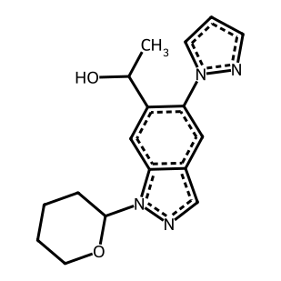 CC(O)c1cc2c(cnn2C2CCCCO2)cc1-n1cccn1